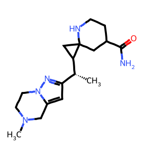 C[C@H](c1cc2n(n1)CCN(C)C2)C1CC12CC(C(N)=O)CCN2